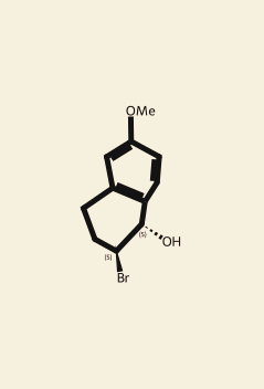 COc1ccc2c(c1)CC[C@H](Br)[C@H]2O